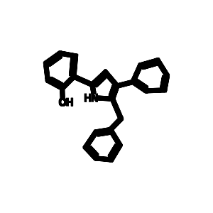 Oc1ccccc1-c1cc(-c2ccccc2)c(Cc2ccccc2)[nH]1